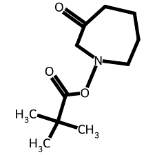 CC(C)(C)C(=O)ON1CCCCC(=O)C1